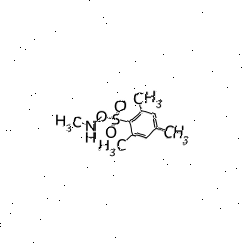 CNOS(=O)(=O)c1c(C)cc(C)cc1C